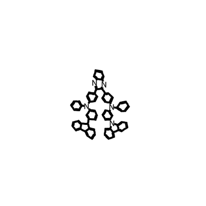 c1ccc(N(c2ccc(-c3nc4ccccc4nc3-c3ccc(N(c4ccccc4)c4cccc(-n5c6ccccc6c6ccccc65)c4)cc3)cc2)c2cccc(C3c4ccccc4-c4ccccc43)c2)cc1